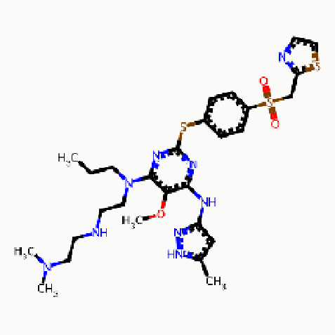 CCCN(CCNCCN(C)C)c1nc(Sc2ccc(S(=O)(=O)Cc3nccs3)cc2)nc(Nc2cc(C)[nH]n2)c1OC